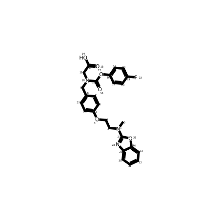 CN(CCOc1ccc(CN(CC(=O)O)C(=O)Oc2ccc(F)cc2)cc1)c1nc2ccccc2o1